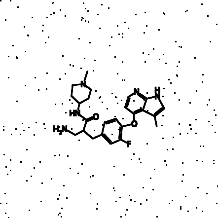 Cc1c[nH]c2nccc(Oc3ccc(CC(CN)C(=O)NC4CCN(C)CC4)cc3F)c12